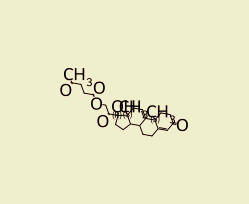 CC(=O)CCC(=O)OCC(=O)[C@@]1(O)CCC2C3CCC4=CC(=O)CC[C@]4(C)C3=CC[C@@]21C